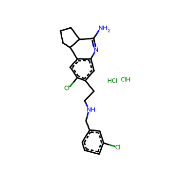 Cl.Cl.NC1=Nc2cc(CCNCc3cccc(Cl)c3)c(Cl)cc2C2CCCC12